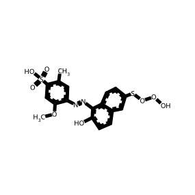 COc1cc(S(=O)(=O)O)c(C)cc1N=Nc1c(O)ccc2cc(SOOO)ccc12